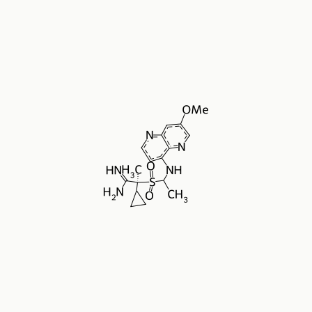 COc1cnc2c(NC(C)S(=O)(=O)[C@](C)(C(=N)N)C3CC3)ccnc2c1